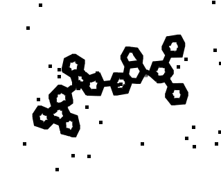 C1=CC2=C(CC1)c1cc(-c3ccc4c(c3)c3ccccc3n4-c3ccc4c5ccccc5c5ccccc5c4c3)ccc1C[C@@H]2c1cc(-c2ccccc2)cc(-c2ccccc2)c1